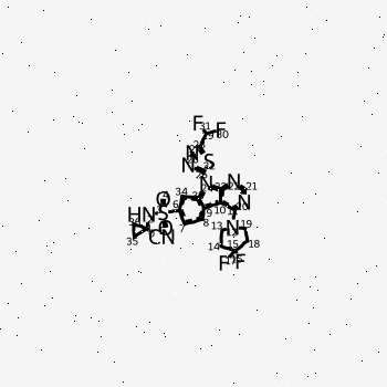 N#CC1(NS(=O)(=O)c2ccc3c4c(N5CCC(F)(F)CC5)ncnc4n(-c4nnc(C(F)F)s4)c3c2)CC1